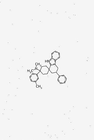 Cc1cccc(C2(N(C)C)CCC3(CC2)CC(c2ccccc2)Cc2c3[nH]c3ccccc23)c1